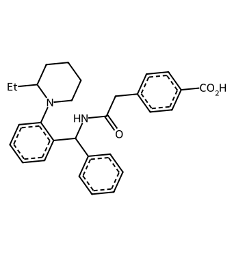 CCC1CCCCN1c1ccccc1C(NC(=O)Cc1ccc(C(=O)O)cc1)c1ccccc1